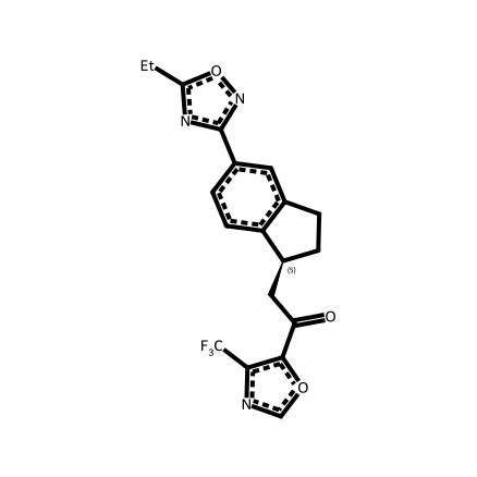 CCc1nc(-c2ccc3c(c2)CC[C@H]3CC(=O)c2ocnc2C(F)(F)F)no1